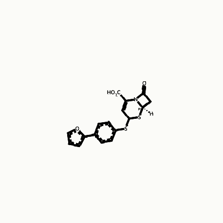 O=C(O)C1=CC(Sc2ccc(-c3ccco3)cc2)S[C@@H]2CC(=O)N12